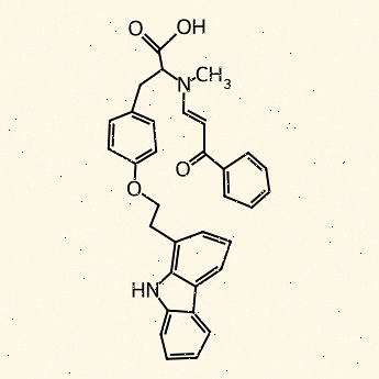 CN(C=CC(=O)c1ccccc1)C(Cc1ccc(OCCc2cccc3c2[nH]c2ccccc23)cc1)C(=O)O